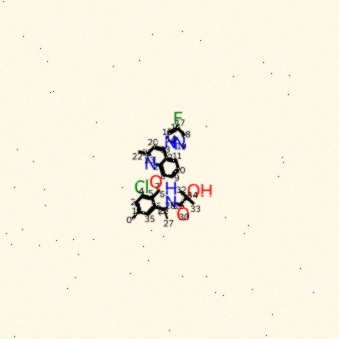 Cc1cc(Cl)c(COc2cccc3c(-n4cc(F)cn4)cc(C)nc23)c([C@H](C)NC(=O)C(C)(C)O)c1